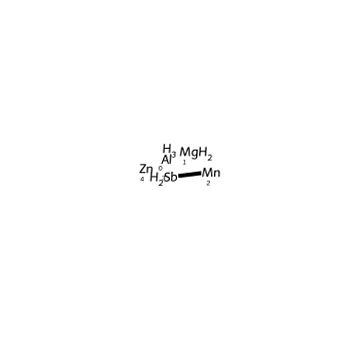 [AlH3].[MgH2].[Mn][SbH2].[Zn]